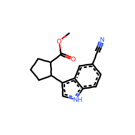 COC(=O)C1CCCC1c1c[nH]c2ccc(C#N)cc12